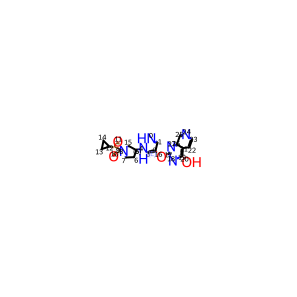 N=C/C(=C\N[C@H]1CCN(S(=O)(=O)C2CC2)C1)Oc1nc(O)c2ccncc2n1